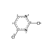 Clc1c[c]nc(Cl)n1